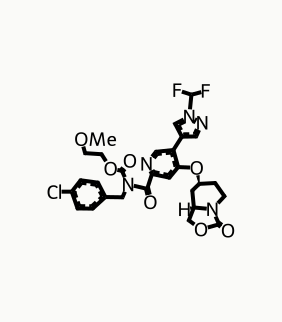 COCCOC(=O)N(Cc1ccc(Cl)cc1)C(=O)c1cc(O[C@H]2CCN3C(=O)OC[C@@H]3C2)c(-c2cnn(C(F)F)c2)cn1